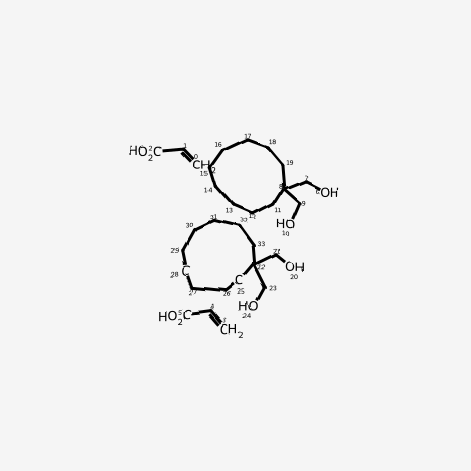 C=CC(=O)O.C=CC(=O)O.OCC1(CO)CCCCCCCCC1.OCC1(CO)CCCCCCCCC1